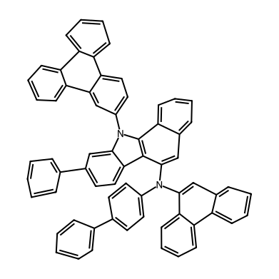 c1ccc(-c2ccc(N(c3cc4ccccc4c4ccccc34)c3cc4ccccc4c4c3c3ccc(-c5ccccc5)cc3n4-c3ccc4c5ccccc5c5ccccc5c4c3)cc2)cc1